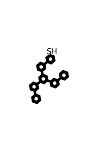 Sc1cccc(-c2cccc(-c3cc(-c4cccc(-c5ccccc5)c4)cc(-c4cccc(-c5ccccc5)c4)c3)c2)c1